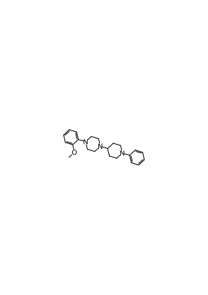 COc1ccccc1N1CCN(C2CCN(c3ccccc3)CC2)CC1